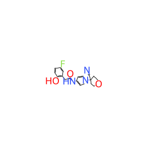 N#CC1(N2C=CC(NC(=O)Cc3cc(F)ccc3O)=CC2)CCOCC1